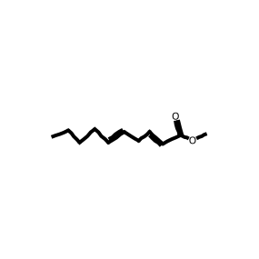 CCCCC=CCC=CC(=O)OC